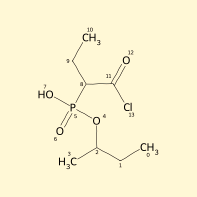 CCC(C)OP(=O)(O)C(CC)C(=O)Cl